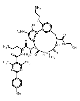 CC(=O)Nc1cc2cc(c1O)-c1cc(ccc1OCCN)C[C@@H](C(=O)NCC#N)NC(=O)[C@H](C)NC(=O)[C@H]2N(C)C(=O)[C@H](CCN)NC(=O)c1c(C)nc(-c2ccc(C(C)(C)C)cc2)nc1C